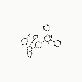 c1ccc(-c2cc(-c3ccc4c(c3)C3(c5ccccc5Sc5ccccc53)c3ccc5ccoc5c3-4)nc(-c3ccccc3)n2)cc1